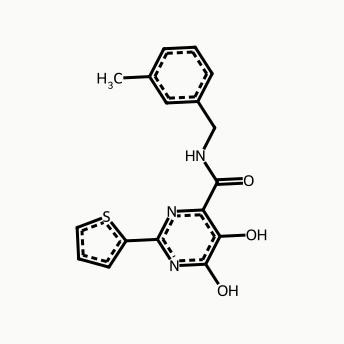 Cc1cccc(CNC(=O)c2nc(-c3cccs3)nc(O)c2O)c1